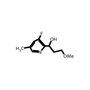 COCCC(O)c1ncc(C)cc1F